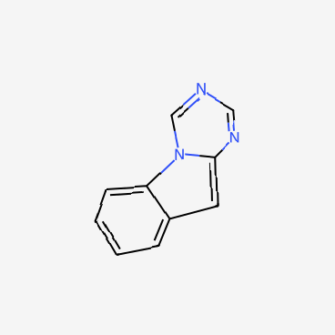 c1ccc2c(c1)cc1ncncn12